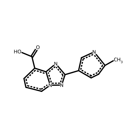 Cc1ccc(-c2nc3c(C(=O)O)cccn3n2)cn1